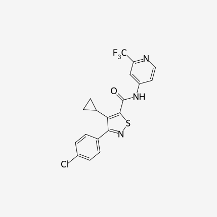 O=C(Nc1ccnc(C(F)(F)F)c1)c1snc(-c2ccc(Cl)cc2)c1C1CC1